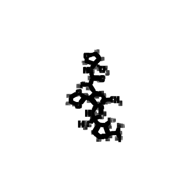 Cc1nc(NC(C)(C)c2cccc(C(F)F)c2F)c(C2OCCO2)c(C(F)C(=O)N[C@]2(C(F)(F)F)CCOC2)n1